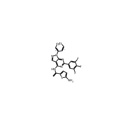 C=C(Nc1nc(-c2cc(F)c(F)c(F)c2)nc2c1cnn2C(/C=C\CC)=C/CC)c1ccc(N)s1